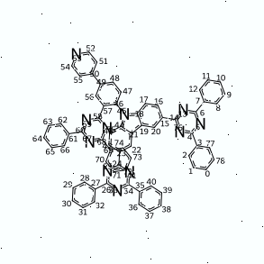 c1ccc(-c2nc(-c3ccccc3)nc(-c3ccc4c(c3)c3cc(-c5nc(-c6ccccc6)nc(-c6ccccc6)n5)ccc3n4-c3ccc(-c4ccncc4)cc3-c3nc(-c4ccccc4)nc(-c4ccccc4)n3)n2)cc1